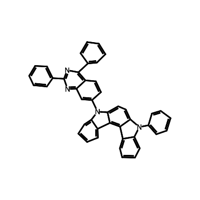 c1ccc(-c2nc(-c3ccccc3)c3ccc(-n4c5ccccc5c5c6c7ccccc7n(-c7ccccc7)c6ccc54)cc3n2)cc1